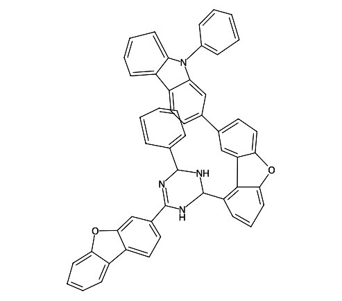 c1ccc(C2N=C(c3ccc4c(c3)oc3ccccc34)NC(c3cccc4oc5ccc(-c6ccc7c8ccccc8n(-c8ccccc8)c7c6)cc5c34)N2)cc1